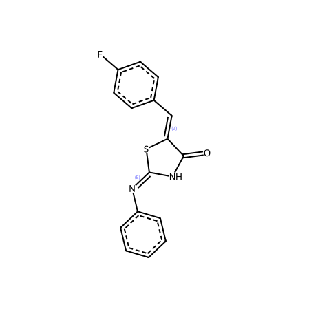 O=C1N/C(=N\c2ccccc2)S/C1=C\c1ccc(F)cc1